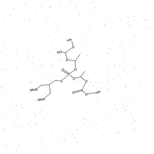 CCCOC(=O)OC(C)OP(=O)(OC(C)OC(O)OCCC)SCC(CNC)CNC